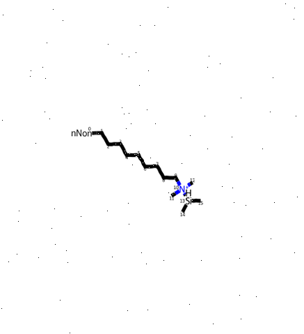 CCCCCCCCCCCCCCCCCC[N+](C)(C)[SiH](C)C